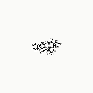 COC(=O)C1(Cc2ccccc2)CC(CNC(=O)c2cc(C)nn2C2CCOCC2)=NO1